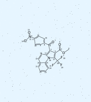 COC(=O)c1c(C(=O)c2ccc([N+](=O)[O-])cc2)c2ccc3ccccc3n2c1C(F)(F)F